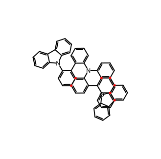 c1cc(-c2cccc3c2oc2ccccc23)cc(N(c2ccccc2-c2ccccc2-n2c3ccccc3c3ccccc32)c2ccccc2-c2cccc3ccccc23)c1